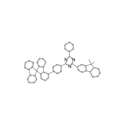 CC1(C)c2ccccc2-c2ccc(-c3nc(-c4ccccc4)nc(-c4ccc(-c5cccc6c5-c5ccccc5C65c6ccccc6-c6ccccc65)cc4)n3)cc21